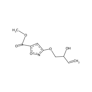 C=CC(O)COc1cc(C(=O)OC)on1